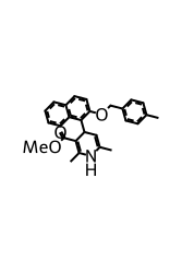 COC(=O)C1=C(C)NC(C)=CC1c1c(OCc2ccc(C)cc2)ccc2ccccc12